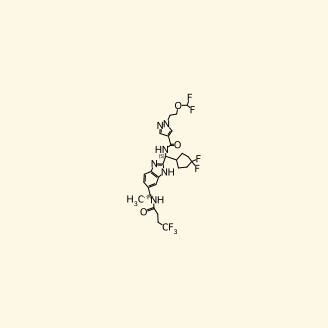 C[C@@H](NC(=O)CCC(F)(F)F)c1ccc2nc([C@@H](NC(=O)c3cnn(CCOC(F)F)c3)C3CCC(F)(F)CC3)[nH]c2c1